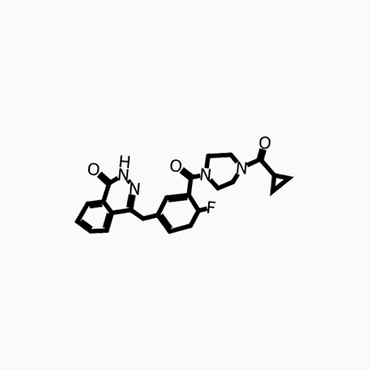 O=C(C1=CC(Cc2n[nH]c(=O)c3ccccc23)=CCC1F)N1CCN(C(=O)C2CC2)CC1